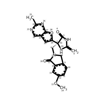 C=C1NC(=O)[C@](CN2Cc3ccc(OC)cc3C2=O)(c2cc3cnc(C)nc3o2)N1